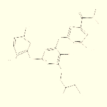 CCC(COc1nc(Oc2cc(C#N)ccc2OC)nc(Oc2cc(OC)cc(C(=O)N(C)C)c2)c1[N+](=O)[O-])CC(=O)O